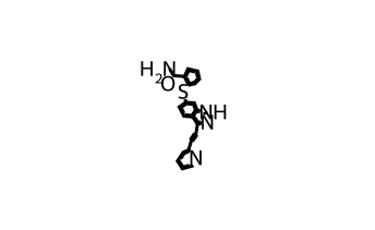 NC(=O)c1ccccc1Sc1ccc2c(C#Cc3ccccn3)n[nH]c2c1